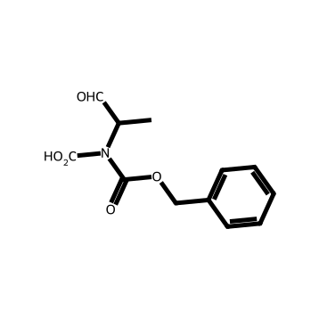 CC(C=O)N(C(=O)O)C(=O)OCc1ccccc1